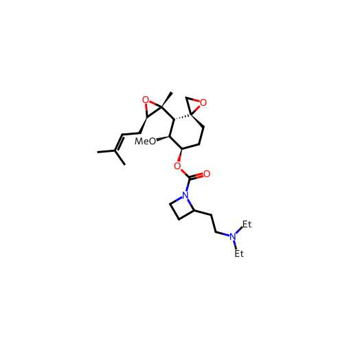 CCN(CC)CCC1CCN1C(=O)O[C@@H]1CC[C@]2(CO2)[C@@H]([C@@]2(C)O[C@@H]2CC=C(C)C)[C@@H]1OC